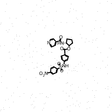 O=C(N[C@@H]1CCC[C@H]1OC(=O)c1ccc(NS(=O)(=O)c2ccc([N+](=O)[O-])cc2)cc1)c1ccncc1